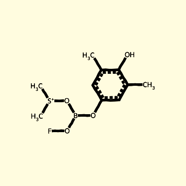 Cc1cc(OB(OF)O[S+](C)C)cc(C)c1O